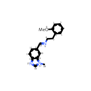 COc1ccccc1CCN=Cc1ccc2ncn(C)c2c1